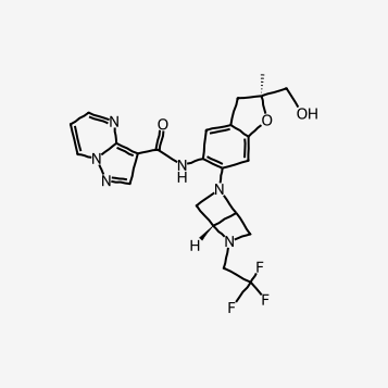 C[C@@]1(CO)Cc2cc(NC(=O)c3cnn4cccnc34)c(N3C[C@@H]4C3CN4CC(F)(F)F)cc2O1